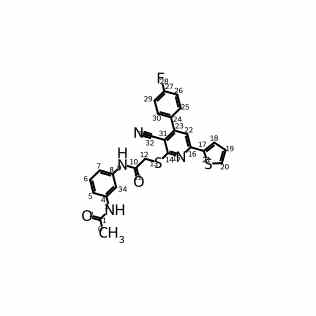 CC(=O)Nc1cccc(NC(=O)CSc2nc(-c3cccs3)cc(-c3ccc(F)cc3)c2C#N)c1